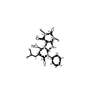 CC(C)Cc1c(O)n2c3c(=O)n(C)c(=O)n(C)c3nc2n(-c2ccccc2)c1=O